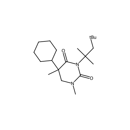 CN1CC(C)(C2CCCCC2)C(=O)N(C(C)(C)CC(C)(C)C)C1=O